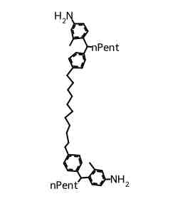 CCCCCC(c1ccc(CCCCCCCCCCCc2ccc(C(CCCCC)c3ccc(N)cc3C)cc2)cc1)c1ccc(N)cc1C